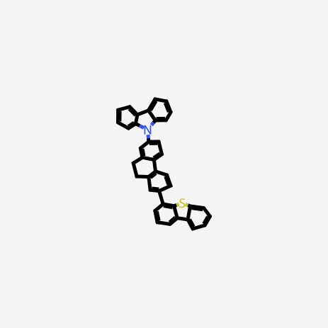 c1ccc2c(c1)sc1c(-c3ccc4c(c3)CCc3cc(-n5c6ccccc6c6ccccc65)ccc3-4)cccc12